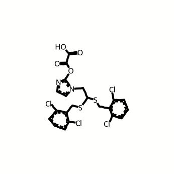 O=C(O)C(=O)Oc1nccn1CC(SCc1c(Cl)cccc1Cl)SCc1c(Cl)cccc1Cl